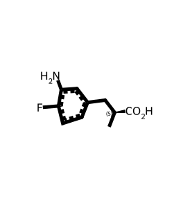 C[C@@H](Cc1ccc(F)c(N)c1)C(=O)O